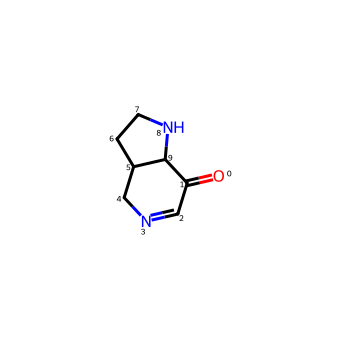 O=C1C=NCC2CCNC12